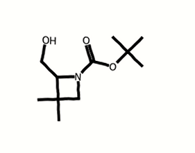 CC(C)(C)OC(=O)N1CC(C)(C)C1CO